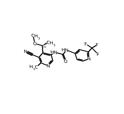 CO[C@@H](C)c1c(NC(=O)Nc2ccnc(C(F)(F)F)c2)cnc(C)c1C#N